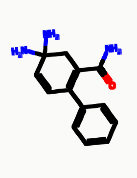 NC(=O)C1=C(c2ccccc2)C=CC(N)(N)C1